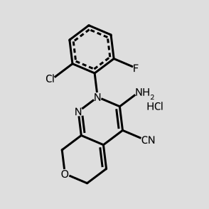 Cl.N#CC1=C(N)N(c2c(F)cccc2Cl)N=C2COCC=C21